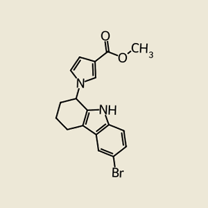 COC(=O)c1ccn(C2CCCc3c2[nH]c2ccc(Br)cc32)c1